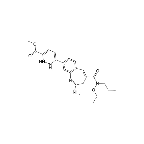 CCCN(OCC)C(=O)C1=Cc2ccc(C3=CC=C(C(=O)OC)NN3)cc2N=C(N)C1